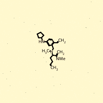 C=CCCC(C(=C)NC)N(C)Cc1cc(NC2CCCC2)ccc1C=C